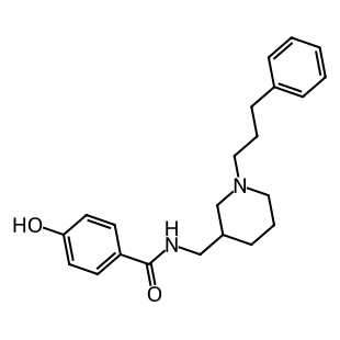 O=C(NCC1CCCN(CCCc2ccccc2)C1)c1ccc(O)cc1